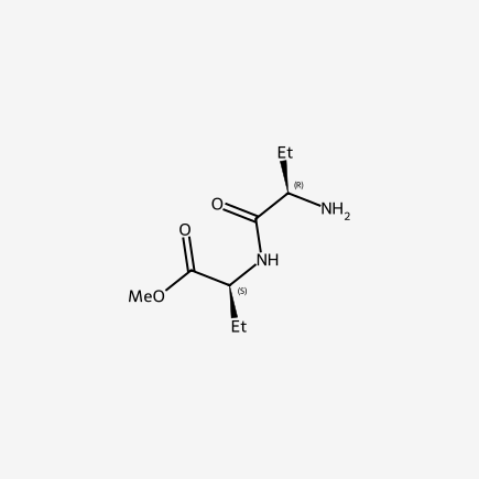 CC[C@@H](N)C(=O)N[C@@H](CC)C(=O)OC